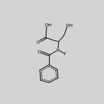 O=C(O)C(CO)N(F)C(=O)c1ccccc1